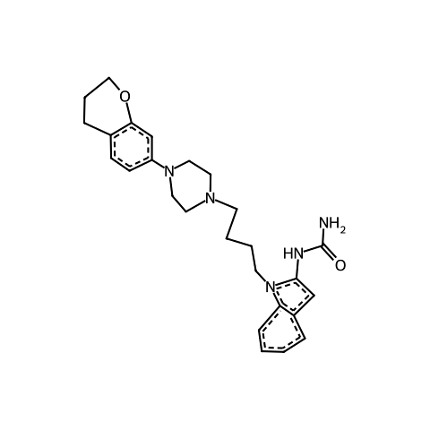 NC(=O)Nc1cc2ccccc2n1CCCCN1CCN(c2ccc3c(c2)OCCC3)CC1